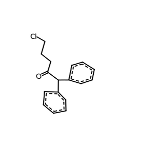 O=C(CCCCl)C(c1ccccc1)c1ccccc1